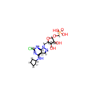 O=P(O)(O)COC1O[C@H](Cn2ncc3c(NC4CCCC4)nc(Cl)nc32)[C@H](O)[C@@H]1O